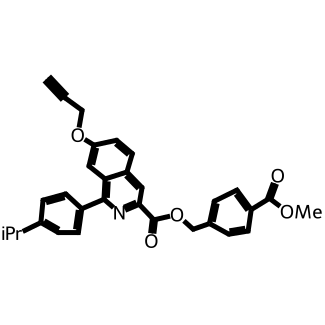 C#CCOc1ccc2cc(C(=O)OCc3ccc(C(=O)OC)cc3)nc(-c3ccc(C(C)C)cc3)c2c1